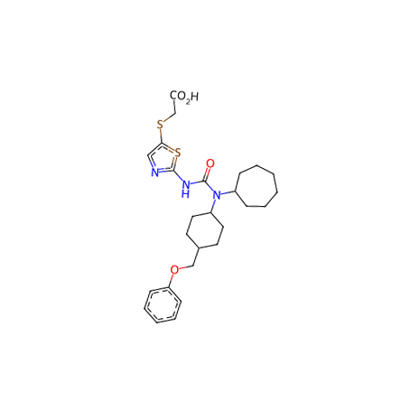 O=C(O)CSc1cnc(NC(=O)N(C2CCCCCC2)C2CCC(COc3ccccc3)CC2)s1